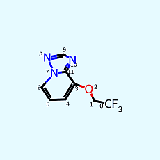 FC(F)(F)COc1cccn2ncnc12